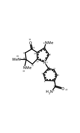 CNc1cn(-c2ccc(C(N)=O)cc2)c2c1C(=O)CC(NC)(NC)C2